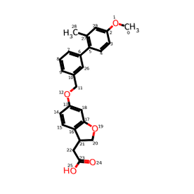 COc1ccc(-c2cccc(COc3ccc4c(c3)OCC4CC(=O)O)c2)c(C)c1